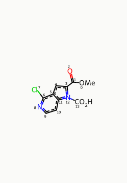 COC(=O)c1cc2c(Cl)nccc2n1C(=O)O